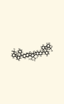 CC(C)c1c(C(C)C)c2c3cc4ccc(N(c5ccccc5)c5cccc6c5oc5c(C(C)(C)C)cccc56)cc4cc3oc2c2oc3cc4cc(N(c5ccccc5)c5cccc6c5oc5c(C(C)(C)C)cccc56)ccc4cc3c12